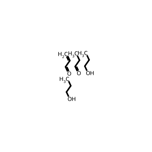 C=CC=O.CCC=O.CCCO.CCCO